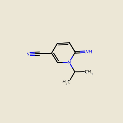 CC(C)n1cc(C#N)ccc1=N